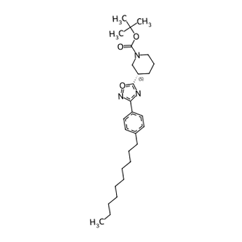 CCCCCCCCCCc1ccc(-c2noc([C@H]3CCCN(C(=O)OC(C)(C)C)C3)n2)cc1